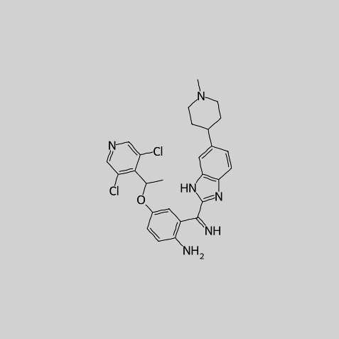 CC(Oc1ccc(N)c(C(=N)c2nc3ccc(C4CCN(C)CC4)cc3[nH]2)c1)c1c(Cl)cncc1Cl